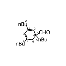 CCCCC1=CC(C=O)(CCCC)CC(CCCC)=C1